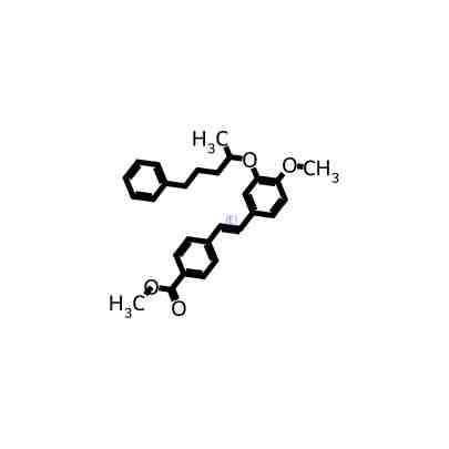 COC(=O)c1ccc(/C=C/c2ccc(OC)c(OC(C)CCCc3ccccc3)c2)cc1